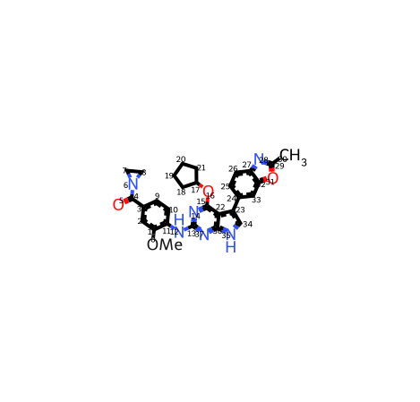 COc1cc(C(=O)N2CC2)ccc1Nc1nc(OC2CCCC2)c2c(-c3ccc4nc(C)oc4c3)c[nH]c2n1